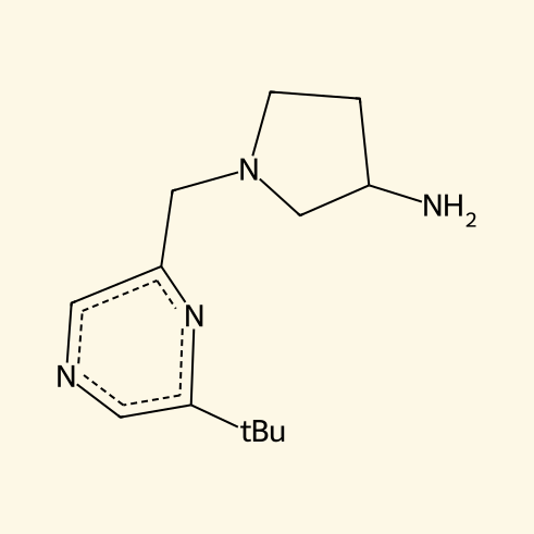 CC(C)(C)c1cncc(CN2CCC(N)C2)n1